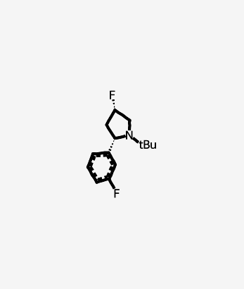 CC(C)(C)N1C[C@@H](F)C[C@H]1c1cccc(F)c1